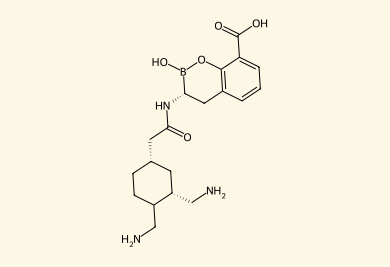 NCC1CC[C@H](CC(=O)N[C@H]2Cc3cccc(C(=O)O)c3OB2O)C[C@@H]1CN